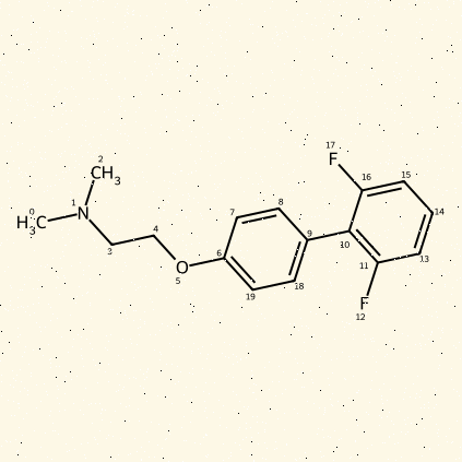 CN(C)CCOc1ccc(-c2c(F)cccc2F)cc1